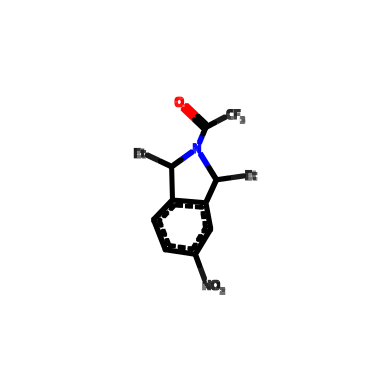 CCC1c2ccc([N+](=O)[O-])cc2C(CC)N1C(=O)C(F)(F)F